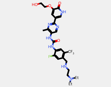 CCN(CC)CCNCc1cc(F)c(NC(=O)Nc2cnc(-c3c[nH]c(=O)c(OCCO)c3)nc2C)cc1C(F)(F)F